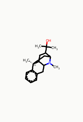 CN1C2C[C@]3(C)c4ccccc4CC1C3CC2C(C)(C)O